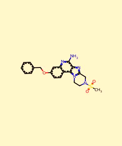 CS(=O)(=O)N1CCn2c(nc3c(N)nc4cc(OCc5ccccc5)ccc4c32)C1